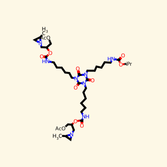 CC(=O)OCC(CN1CC1C)OC(=O)NCCCCCCn1c(=O)n(CCCCCCNC(=O)OC(C)C)c(=O)n(CCCCCCNC(=O)OC(COC(C)=O)CN2CC2C)c1=O